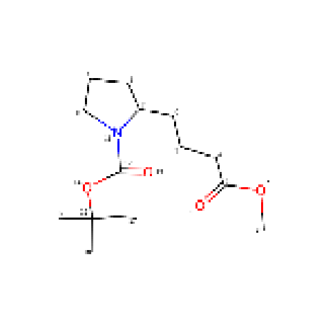 COC(=O)CCCC1CCCN1C(=O)OC(C)(C)C